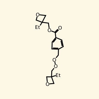 CCC1(COOCc2ccc(C(=O)OCC3(CC)COC3)cc2)COC1